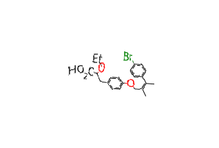 CCOC(Cc1ccc(OCC(C)=C(C)c2ccc(Br)cc2)cc1)C(=O)O